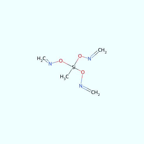 C=NO[Si](C)(ON=C)ON=C